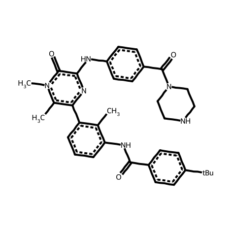 Cc1c(NC(=O)c2ccc(C(C)(C)C)cc2)cccc1-c1nc(Nc2ccc(C(=O)N3CCNCC3)cc2)c(=O)n(C)c1C